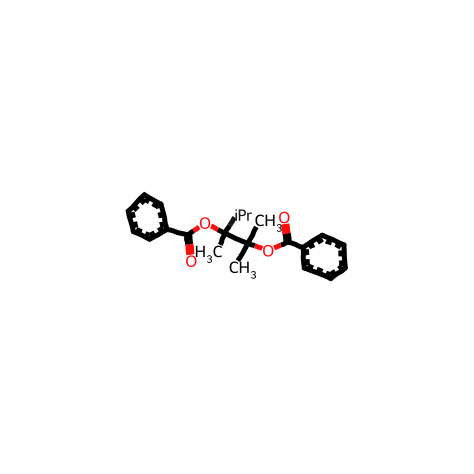 CC(C)C(C)(OC(=O)c1ccccc1)C(C)(C)OC(=O)c1ccccc1